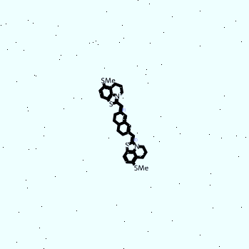 CSc1ccc2c3c1CCCN3/C(=C/C1=CC3=C/C(=C/c4sc5ccc(SC)c6c5[n+]4CCC6)CCC3CC1)S2